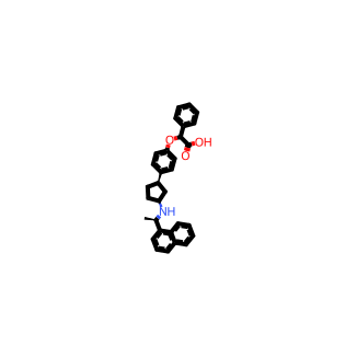 C[C@@H](N[C@H]1CC[C@@H](c2ccc(OC(C(=O)O)c3ccccc3)cc2)C1)c1cccc2ccccc12